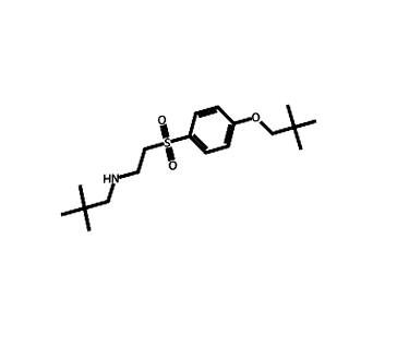 CC(C)(C)CNCCS(=O)(=O)c1ccc(OCC(C)(C)C)cc1